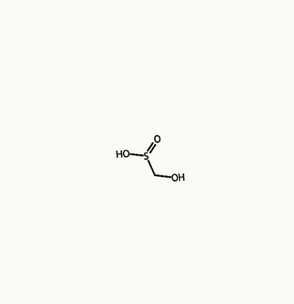 O=S(O)CO